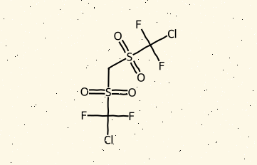 O=S(=O)(CS(=O)(=O)C(F)(F)Cl)C(F)(F)Cl